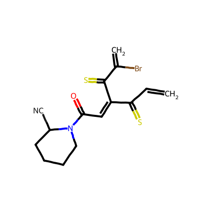 C=CC(=S)C(=CC(=O)N1CCCCC1C#N)C(=S)C(=C)Br